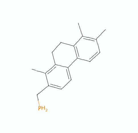 Cc1ccc2c(c1C)CCc1c-2ccc(CP)c1C